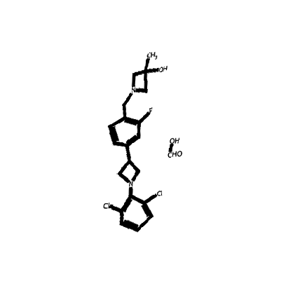 CC1(O)CN(Cc2ccc(C3CN(c4c(Cl)cccc4Cl)C3)cc2F)C1.O=CO